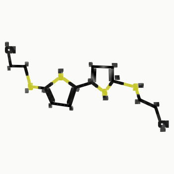 N#CCCSc1ccc(-c2ccc(SCCC#N)s2)s1